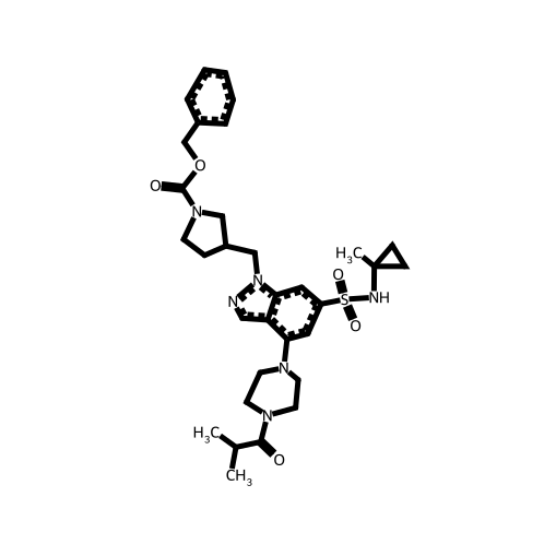 CC(C)C(=O)N1CCN(c2cc(S(=O)(=O)NC3(C)CC3)cc3c2cnn3CC2CCN(C(=O)OCc3ccccc3)C2)CC1